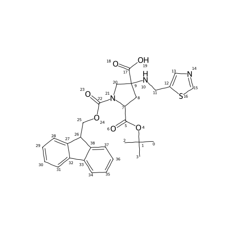 CC(C)(C)OC(=O)C1CC(NCc2cncs2)(C(=O)O)CN1C(=O)OCC1c2ccccc2-c2ccccc21